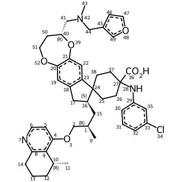 C[C@@H](COc1ccnc2c1[C@H](C)CCC2)C[C@H]1Cc2cc3c(cc2C12CCC(Nc1cccc(Cl)c1)(C(=O)O)CC2)O[C@@H](CN(C)Cc1ccoc1)CCO3